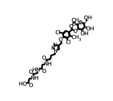 CO[C@H]1O[C@H](CO)[C@@H](O)[C@H](O)[C@H]1OC(=O)c1cc(Cl)c(OCc2cn(CCCC(=O)NCC(=O)NCC(=O)NCC(=O)O)nn2)c(Cl)c1C